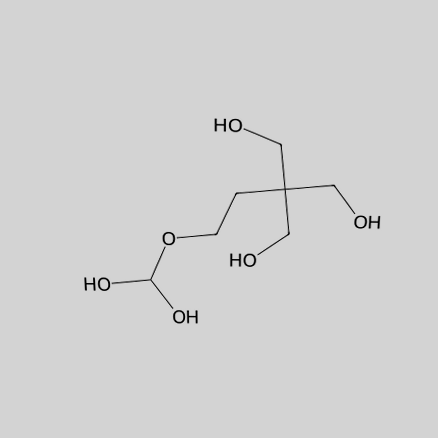 OCC(CO)(CO)CCOC(O)O